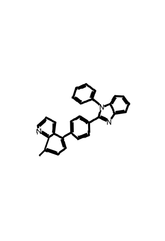 Cc1ccc(-c2ccc(-c3nc4ccccc4n3-c3ccccc3)cc2)c2cccnc12